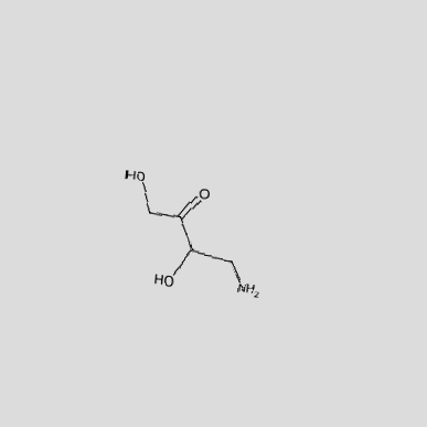 NCC(O)C(=O)CO